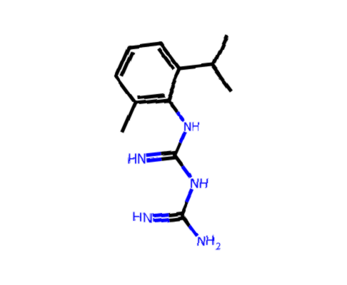 Cc1cccc(C(C)C)c1NC(=N)NC(=N)N